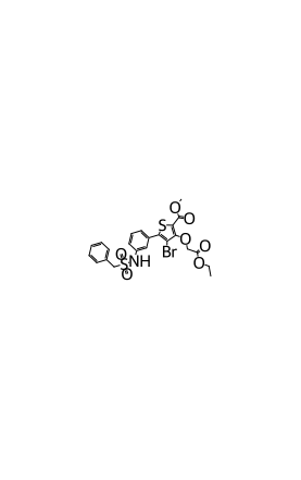 CCOC(=O)COc1c(C(=O)OC)sc(-c2cccc(NS(=O)(=O)Cc3ccccc3)c2)c1Br